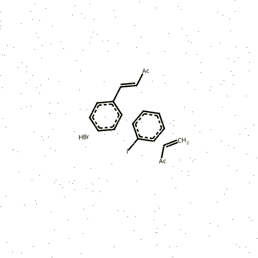 Br.C=CC(C)=O.CC(=O)C=Cc1ccccc1.Ic1ccccc1